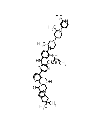 C=CC(=O)Nc1cc(Nc2nc(-c3ccnc(N4CCn5c(cc6c5CC(C)(C)C6)C4=O)c3CO)cnc2OC)ccc1N1CCN(C2CCN(c3ccnc(C(F)(F)F)c3)[C@H](C)C2)C[C@@H]1C